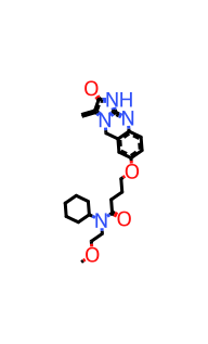 C=c1c(=O)[nH]c2n1Cc1cc(OCCCC(=O)N(CCOC)C3CCCCC3)ccc1N=2